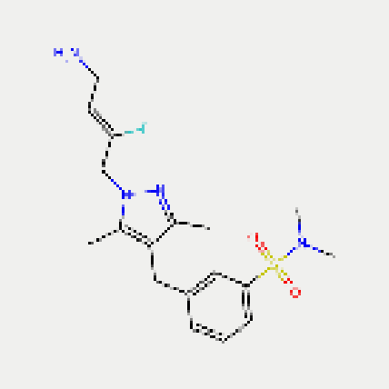 Cc1nn(C/C(F)=C/CN)c(C)c1Cc1cccc(S(=O)(=O)N(C)C)c1